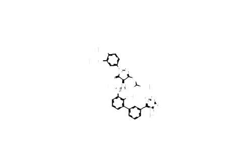 Cc1ccc(N2N=C(OC(C)C)C(=NN(O)c3cccc(-c4cccc(-c5nnn[nH]5)c4)c3O)C2=O)cc1C